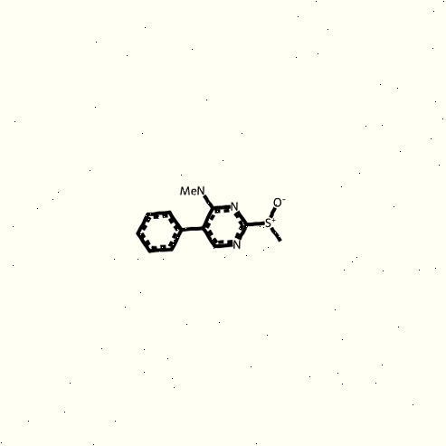 CNc1nc([S+](C)[O-])ncc1-c1ccccc1